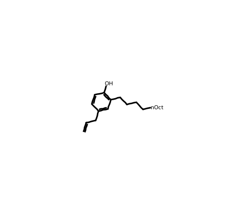 C=CCc1ccc(O)c(CCCCCCCCCCCC)c1